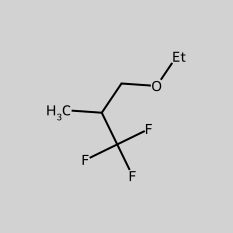 CCOCC(C)C(F)(F)F